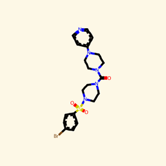 O=C(N1CCN(c2ccncc2)CC1)N1CCN(S(=O)(=O)c2ccc(Br)cc2)CC1